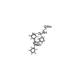 COCCNC(=O)c1cccc(-c2[nH]c(-c3ccccc3)nc2-c2ccncc2)c1